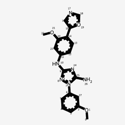 COc1cccc(-n2nc(Nc3ccc(-c4cnco4)c(OC)c3)nc2N)c1